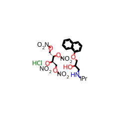 CC(C)NCC(O)COc1cccc2ccccc12.Cl.O=[N+]([O-])OC[C@H](O[N+](=O)[O-])[C@@H](CO[N+](=O)[O-])O[N+](=O)[O-]